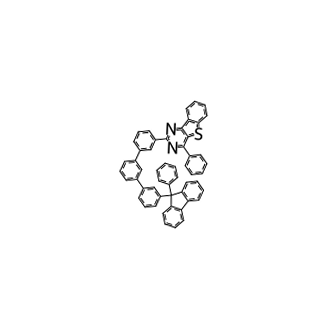 c1ccc(-c2nc(-c3cccc(-c4cccc(-c5cccc(C6(c7ccccc7)c7ccccc7-c7ccccc76)c5)c4)c3)nc3c2sc2ccccc23)cc1